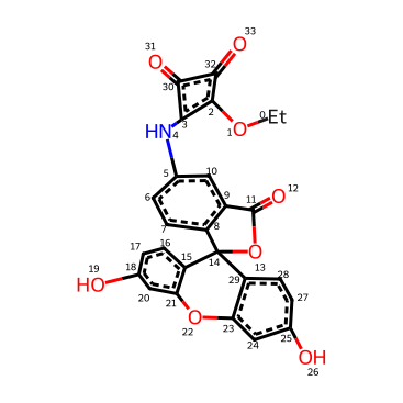 CCOc1c(Nc2ccc3c(c2)C(=O)OC32c3ccc(O)cc3Oc3cc(O)ccc32)c(=O)c1=O